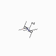 CCCCCC(=N\c1cc(CCCCC)cc(CCCCC)c1)/C(CCCC)=N/c1cc(CCCCC)cc(CCCCC)c1.[Pd]